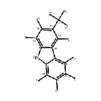 Cc1c(C)c(C)c2c([nH]c3c(C)c(C)c(C(C)(C)C)c(C)c32)c1C